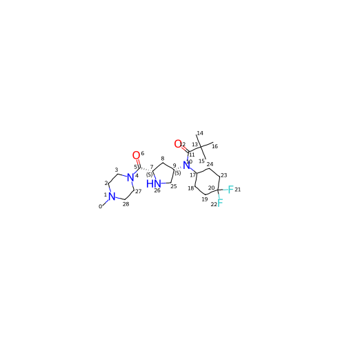 CN1CCN(C(=O)[C@@H]2C[C@H](N(C(=O)C(C)(C)C)C3CCC(F)(F)CC3)CN2)CC1